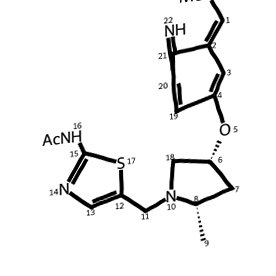 CN/C=C1/C=C(O[C@@H]2C[C@H](C)N(Cc3cnc(NC(C)=O)s3)C2)C=CC1=N